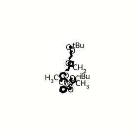 C=C1C[C@H](CCCOC(=O)C(C)(C)C)OC1CC[C@H]1C[C@@H](C)C(=C)C(C[C@@H]2O[C@H](C[C@H](C)CC)[C@H](C)[C@H]2CS(=O)(=O)c2ccccc2)O1